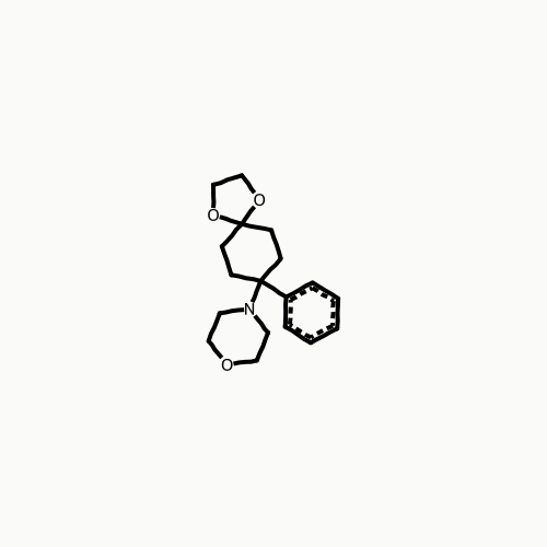 c1ccc(C2(N3CCOCC3)CCC3(CC2)OCCO3)cc1